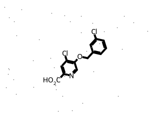 O=C(O)c1cc(Cl)c(OCc2cccc(Cl)c2)cn1